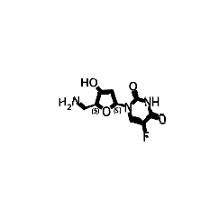 NC[C@@H]1O[C@H](n2cc(F)c(=O)[nH]c2=O)CC1O